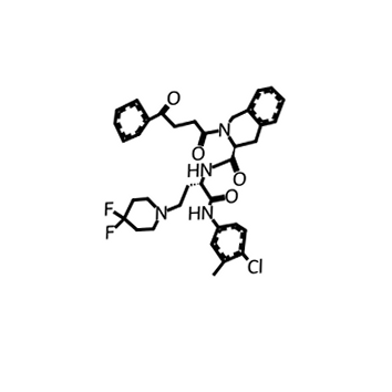 Cc1cc(NC(=O)[C@H](CCN2CCC(F)(F)CC2)NC(=O)[C@@H]2Cc3ccccc3CN2C(=O)CCC(=O)c2ccccc2)ccc1Cl